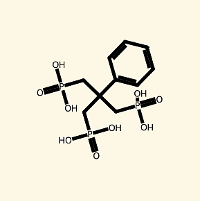 O=P(O)(O)CC(CP(=O)(O)O)(CP(=O)(O)O)c1cc[c]cc1